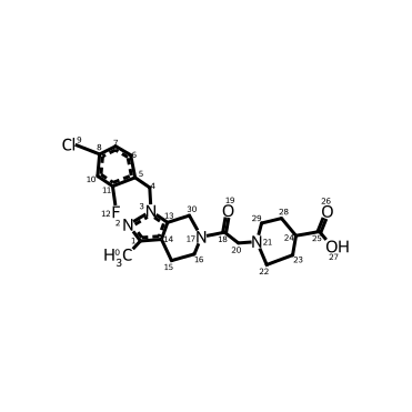 Cc1nn(Cc2ccc(Cl)cc2F)c2c1CCN(C(=O)CN1CCC(C(=O)O)CC1)C2